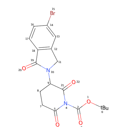 CC(C)(C)OC(=O)N1C(=O)CCC(N2Cc3cc(Br)ccc3C2=O)C1=O